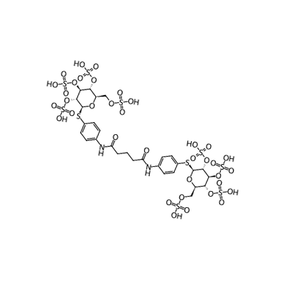 O=C(CCCC(=O)Nc1ccc(S[C@@H]2O[C@H](COS(=O)(=O)O)[C@@H](OS(=O)(=O)O)[C@H](OS(=O)(=O)O)[C@H]2OS(=O)(=O)O)cc1)Nc1ccc(S[C@@H]2O[C@H](COS(=O)(=O)O)[C@@H](OS(=O)(=O)O)[C@H](OS(=O)(=O)O)[C@H]2OS(=O)(=O)O)cc1